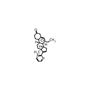 CC[C@@H]1C=C2CC(=O)CC[C@]2(C)[C@H]2CC[C@]3(C)C(c4ncccn4)=CC[C@H]3[C@H]12